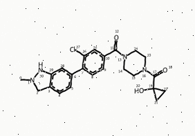 CN1Cc2ccc(-c3ccc(C(=O)N4CCN(C(=O)C5(O)CC5)CC4)cc3Cl)cc2N1